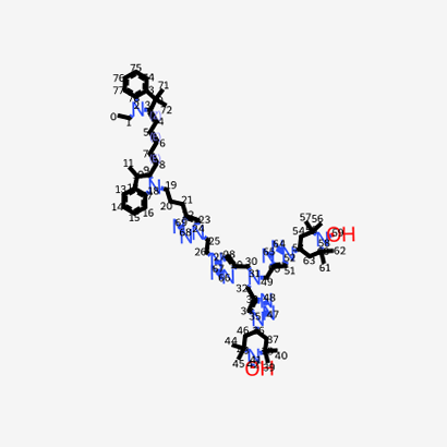 CCN1\C(=C/C=C/C=C/C2C(C)c3ccccc3N2CCCc2cn(CCn3cc(CN(Cc4cn(C5CC(C)(C)N(O)C(C)(C)C5)nn4)Cc4cn(C5CC(C)(C)N(O)C(C)(C)C5)nn4)nn3)nn2)C(C)(C)c2ccccc21